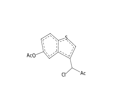 CC(=O)Oc1ccc2scc(C(Cl)C(C)=O)c2c1